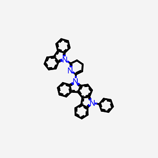 C1=C(n2c3ccccc3c3c4c5ccccc5n(-c5ccccc5)c4ccc32)N=C(n2c3ccccc3c3ccccc32)CC1